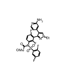 CCn1cc(-c2ccnc(N)c2)c(-c2c(F)ccc(N(C(=O)OC)S(=O)(=O)c3cc(F)ccc3F)c2F)n1